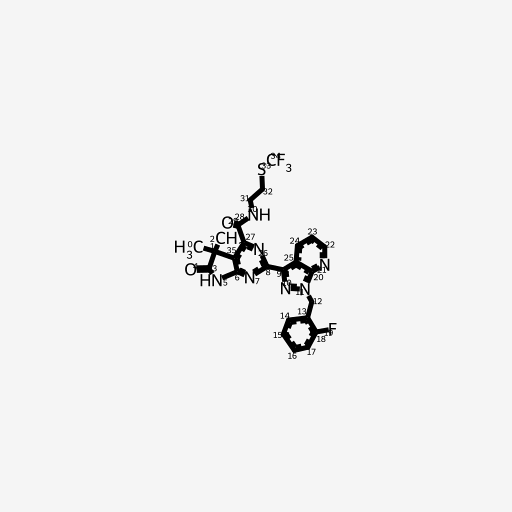 CC1(C)C(=O)Nc2nc(-c3nn(Cc4ccccc4F)c4ncccc34)nc(C(=O)NCCSC(F)(F)F)c21